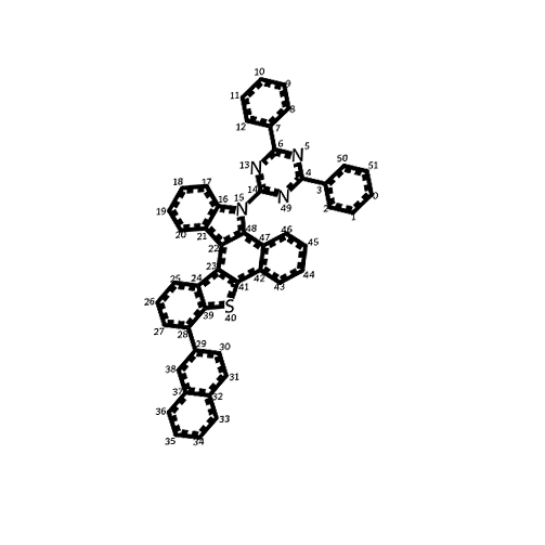 c1ccc(-c2nc(-c3ccccc3)nc(-n3c4ccccc4c4c5c6cccc(-c7ccc8ccccc8c7)c6sc5c5ccccc5c43)n2)cc1